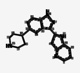 c1cnc2cc(-c3n[nH]c4ccc(C5CCNCC5)cc34)[nH]c2c1